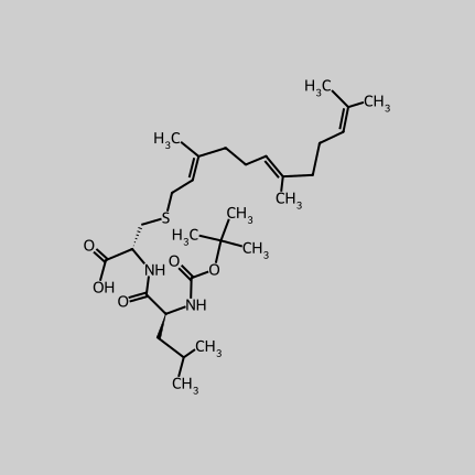 CC(C)=CCCC(C)=CCCC(C)=CCSC[C@H](NC(=O)[C@H](CC(C)C)NC(=O)OC(C)(C)C)C(=O)O